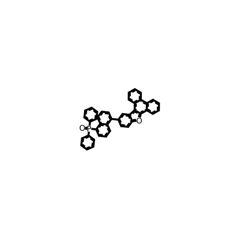 O=P(c1ccccc1)(c1ccccc1)c1cccc2c(-c3ccc4oc5c6ccccc6c6ccccc6c5c4c3)cccc12